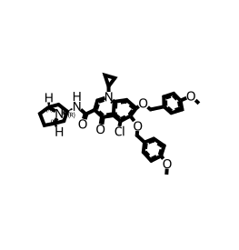 COc1ccc(COc2cc3c(c(Cl)c2OCc2ccc(OC)cc2)c(=O)c(C(=O)N[C@H]2C[C@H]4CC[C@@H](C2)N4C)cn3C2CC2)cc1